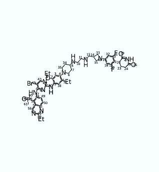 CCOc1cc(N2CCC(NCCNCC3CN(c4cc(F)c([C@H]5CCC(=O)NC5=O)c(F)c4)C3)CC2)c(CC)cc1Nc1ncc(Br)c(Nc2ccc3nc(CC)ncc3c2P(C)(C)=O)n1